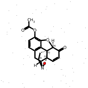 CC(=O)Oc1ccc2c3c1O[C@H]1C(=O)C=C[C@]45OCN(CC[C@]314)[C@@H]5C2